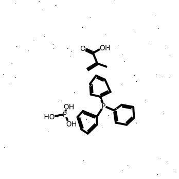 C=C(C)C(=O)O.OP(O)O.c1ccc(P(c2ccccc2)c2ccccc2)cc1